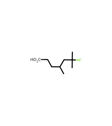 CC(CCC(=O)O)CC(C)(C)F